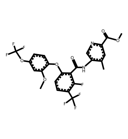 COC(=O)c1cc(C)c(NC(=O)c2c(Oc3ccc(OC(F)(F)F)cc3OC)ccc(C(F)(F)F)c2F)cn1